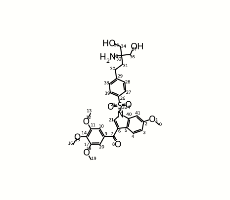 COc1ccc2c(C(=O)c3cc(OC)c(OC)c(OC)c3)cn(S(=O)(=O)c3ccc(CCC(N)(CO)CO)cc3)c2c1